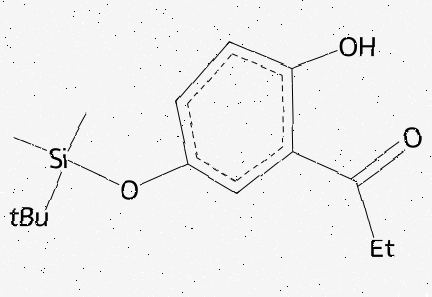 CCC(=O)c1cc(O[Si](C)(C)C(C)(C)C)ccc1O